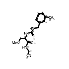 CSCC(NC(=O)NCc1cccc(C)c1)C(=O)NCC#N